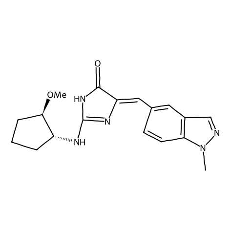 CO[C@@H]1CCC[C@H]1NC1=N/C(=C\c2ccc3c(cnn3C)c2)C(=O)N1